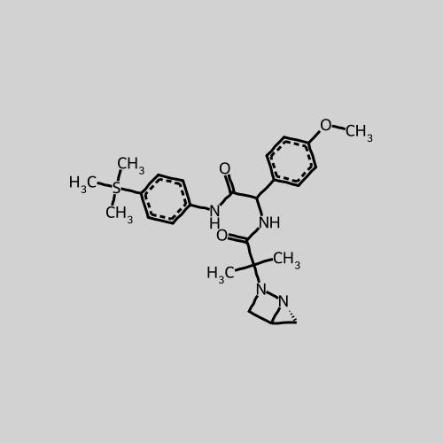 COc1ccc(C(NC(=O)C(C)(C)N2CC3C[N@]32)C(=O)Nc2ccc(S(C)(C)C)cc2)cc1